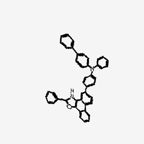 c1ccc(-c2ccc(N(c3ccccc3)c3ccc(-c4ccc5c(c4)c4c(c6ccccc65)OC(c5ccccc5)N4)cc3)cc2)cc1